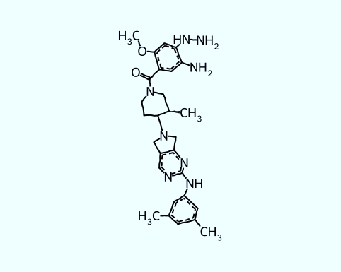 COc1cc(NN)c(N)cc1C(=O)N1CCC(N2Cc3cnc(Nc4cc(C)cc(C)c4)nc3C2)[C@H](C)C1